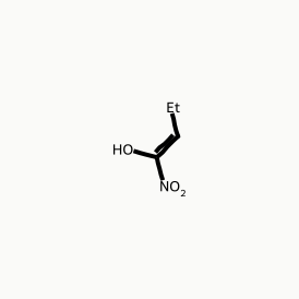 CCC=C(O)[N+](=O)[O-]